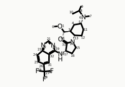 COC[C@H]1C[C@H](N(C)C(C)C)CC[C@@H]1N1CC[C@H](Nc2ncnc3ccc(C(F)(F)F)cc23)C1=O